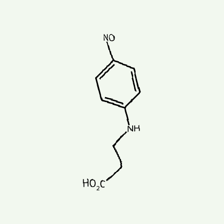 O=Nc1ccc(NCCC(=O)O)cc1